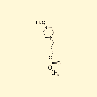 COC(=O)OCCCN1CCN(C)CC1